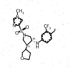 Cn1cnc(S(=O)(=O)N2C[C@H](Nc3ccc(F)c(C(F)(F)F)c3)[C@@H](C3CCOC3)C2)c1